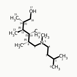 CC(C)CCN(C)C[C@H](C)[C@@H](C)[C@@H](C)[C@H](C)CO